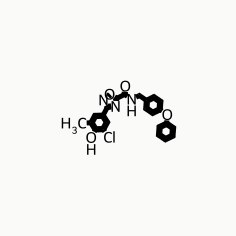 Cc1cc(-c2noc(C(=O)NCc3ccc(Oc4ccccc4)cc3)n2)cc(Cl)c1O